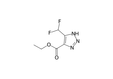 CCOC(=O)c1nn[nH]c1C(F)F